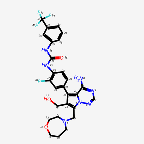 Nc1ncnn2c(CN3CCCOCC3)c(CO)c(-c3ccc(NC(=O)Nc4cccc(C(F)(F)F)c4)c(F)c3)c12